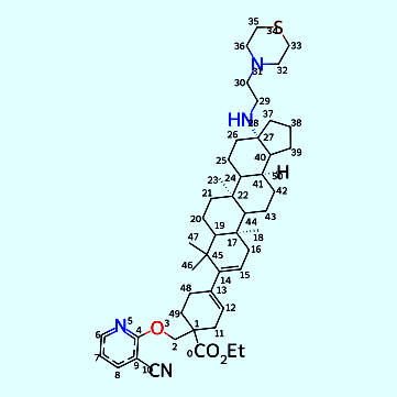 CCOC(=O)C1(COc2ncccc2C#N)CC=C(C2=CC[C@@]3(C)C(CC[C@@]4(C)C5CC[C@@]6(NCCN7CCSCC7)CCCC6[C@H]5CCC43)C2(C)C)CC1